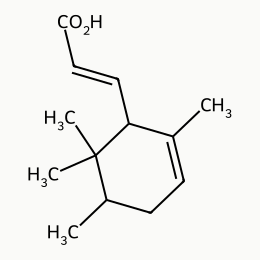 CC1=CCC(C)C(C)(C)C1C=CC(=O)O